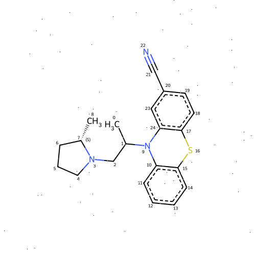 CC(CN1CCC[C@@H]1C)N1c2ccccc2Sc2ccc(C#N)cc21